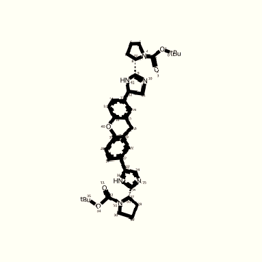 CC(C)(C)OC(=O)N1CCC[C@H]1C1=NCC(c2ccc3c(c2)Cc2cc(-c4cnc([C@@H]5CCCN5C(=O)OC(C)(C)C)[nH]4)ccc2O3)N1